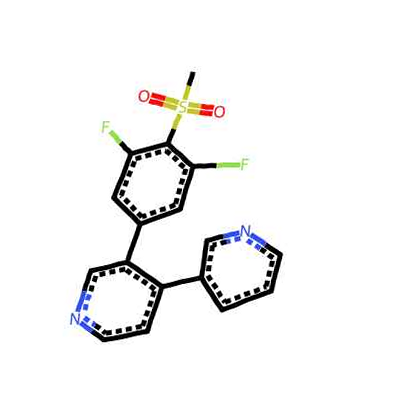 CS(=O)(=O)c1c(F)cc(-c2cnccc2-c2cccnc2)cc1F